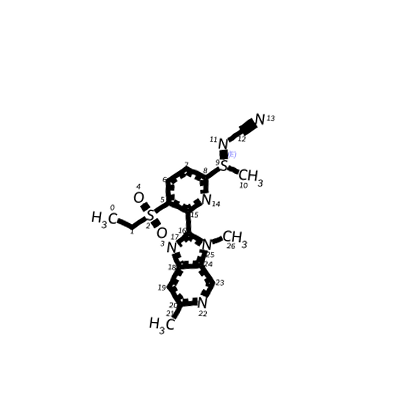 CCS(=O)(=O)c1ccc(/S(C)=N/C#N)nc1-c1nc2cc(C)ncc2n1C